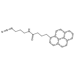 [N-]=[N+]=NCCCNC(=O)CCCc1ccc2ccc3cccc4ccc1c2c34